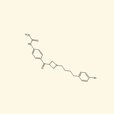 CC(C)c1ccc(CCCCN2CC(C(=O)c3ccc(NC(N)=O)cc3)C2)cc1